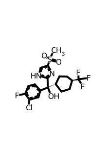 CS(=O)(=O)c1c[nH]c(C(O)(c2ccc(F)c(Cl)c2)[C@H]2CC[C@H](C(F)(F)F)CC2)n1